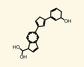 OC1C=C(C2=CC(c3ccc4c(c3)C=CC4C(O)O)=CC2)C=CC1